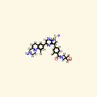 Cc1cc(-c2cn(SI)c3ncc(-c4cc(C)c5c(c4)CCC4CN(C)CCN54)nc23)ccc1C(=O)N1CC2(COC2)C1